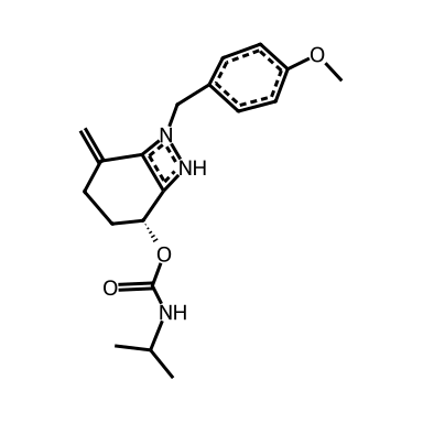 C=C1CC[C@@H](OC(=O)NC(C)C)c2[nH]n(Cc3ccc(OC)cc3)c21